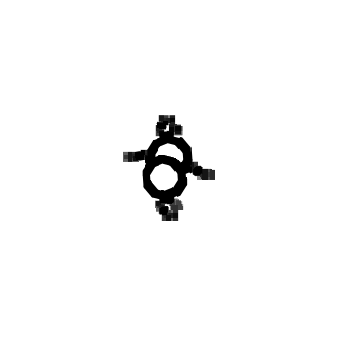 CCC1(N=N)CCCC2(N=N)CCC(CC)(N=N)CCCC(N=N)(CC1)CC2